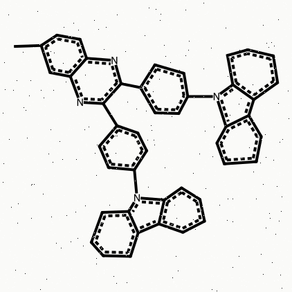 Cc1ccc2nc(-c3ccc(-n4c5ccccc5c5ccccc54)cc3)c(-c3ccc(-n4c5ccccc5c5ccccc54)cc3)nc2c1